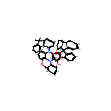 CC1(C)c2ccccc2C2C(N(c3ccc4c(c3)C3(c5ccccc5-c5ccccc53)c3ccccc3-4)c3cccc4c3N3c5ccccc5Oc5cccc(c53)O4)=CC=CC21